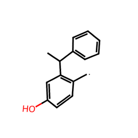 [CH2]c1ccc(O)cc1C(C)c1ccccc1